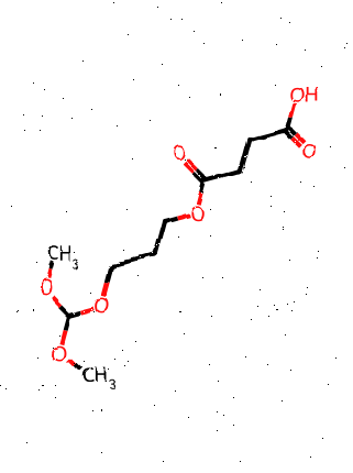 COC(OC)OCCCOC(=O)CCC(=O)O